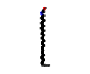 CCCCCCCCCCCCCCCCCCCCCCCCCCCCCCN=C=O